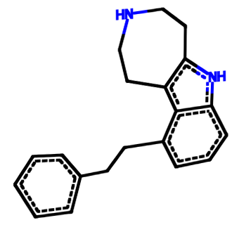 c1ccc(CCc2cccc3[nH]c4c(c23)CCNCC4)cc1